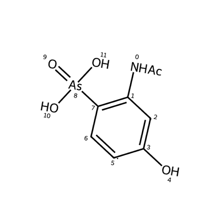 CC(=O)Nc1cc(O)[c]cc1[As](=O)(O)O